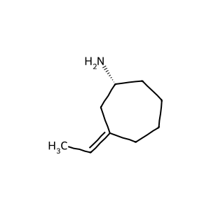 C/C=C1/CCCC[C@@H](N)C1